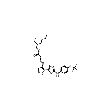 CCCCC(CC)COC(=O)CCSc1ccsc1-c1nnc(Nc2ccc(OC(F)(F)F)cc2)s1